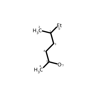 CCC(C)CCC(C)[O]